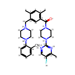 Cc1cc(C)c(C(=O)N2CCN(c3ncc(F)c(C)n3)CC2)cc1CN1CCN(c2ccccc2C#N)CC1